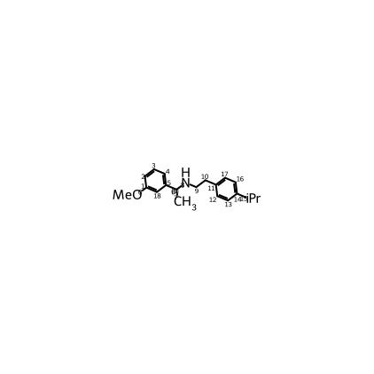 COc1cccc([C@H](C)NCCc2ccc(C(C)C)cc2)c1